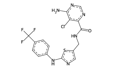 Nc1ncnc(C(=O)NCc2cnc(Nc3ccc(C(F)(F)F)cc3)s2)c1Cl